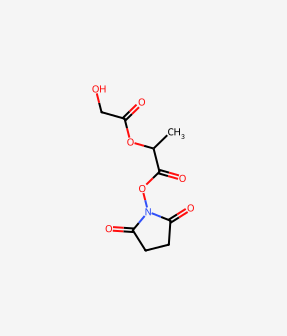 CC(OC(=O)CO)C(=O)ON1C(=O)CCC1=O